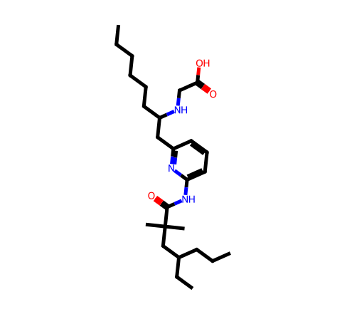 CCCCCCC(Cc1cccc(NC(=O)C(C)(C)CC(CC)CCC)n1)NCC(=O)O